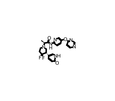 C[C@@H](C(=O)Nc1ccc(Oc2ccncn2)cn1)N1CCC(F)(F)[C@@H](c2ccc(=O)[nH]c2)C1